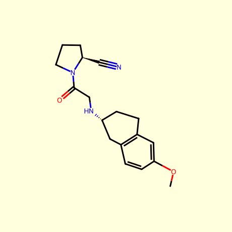 COc1ccc2c(c1)CC[C@@H](NCC(=O)N1CCC[C@H]1C#N)C2